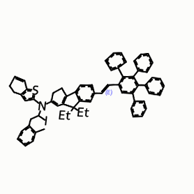 CCC1(CC)C2=C(CCC(N(c3cc4c(s3)C=CCC4)C(I)Cc3ccccc3C)=C2)c2ccc(/C=C/c3cc(-c4ccccc4)c(-c4ccccc4)c(-c4ccccc4)c3-c3ccccc3)cc21